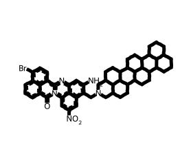 Nc1cc2nc3c4ccc(Br)c5cccc(c(=O)n3c3cc([N+](=O)[O-])cc(c1CN1CC6CCC7C8CCC9C%10CCCC%11CCCC(C%12CCC(C%13CCC(C1)C6C7%13)C8C9%12)C%11%10)c23)c54